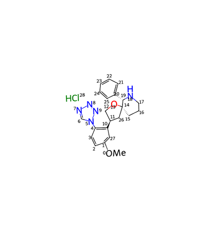 COc1ccc(-n2cnnn2)c([C@H]2CO[C@]3(CCCN[C@H]3c3ccccc3)C2)c1.Cl